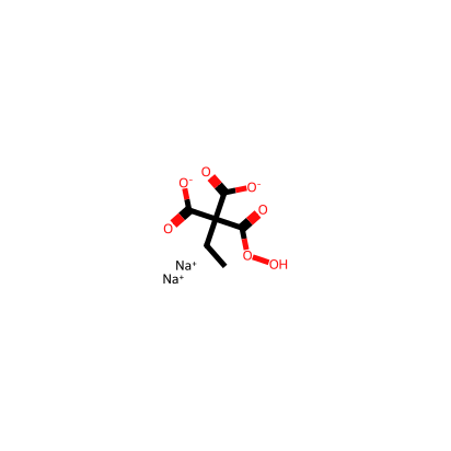 CCC(C(=O)[O-])(C(=O)[O-])C(=O)OO.[Na+].[Na+]